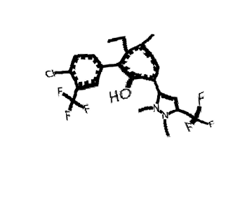 CCc1c(C)cc(C2=CC(C(F)(F)F)N(C)N2C)c(O)c1-c1ccc(Cl)c(C(F)(F)F)c1